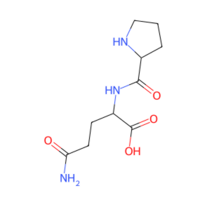 NC(=O)CCC(NC(=O)C1CCCN1)C(=O)O